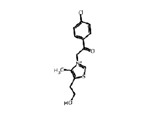 Cc1c(CCO)sc[n+]1CC(=O)c1ccc(Cl)cc1